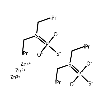 CC(C)CS(CC(C)C)=P([O-])([O-])[S-].CC(C)CS(CC(C)C)=P([O-])([O-])[S-].[Zn+2].[Zn+2].[Zn+2]